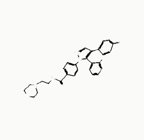 O=C(NCCN1CCOCC1)c1ccc(-n2ncc(-c3ccc(Cl)cc3)c2-c2ccccc2C(F)(F)F)cc1